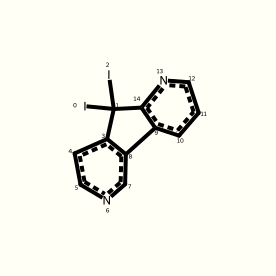 IC1(I)c2ccncc2-c2cccnc21